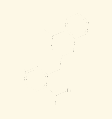 CC(Br)c1ccccc1COCc1ccccc1C(C)Br